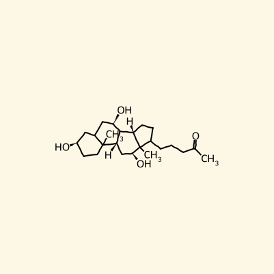 CC(=O)CCCC1CC[C@H]2C3[C@H](O)CC4C[C@H](O)CCC4(C)[C@H]3C[C@H](O)C12C